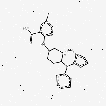 NC(=O)c1cc(F)cnc1NC1CCC(N(c2ccccc2)n2nccn2)[C@@H](N)C1